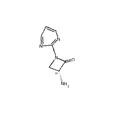 N[C@@H]1CN(c2ncccn2)C1=O